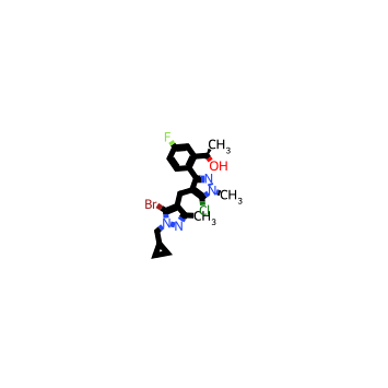 Cc1nn(CC2CC2)c(Br)c1Cc1c(-c2ccc(F)cc2[C@@H](C)O)nn(C)c1Cl